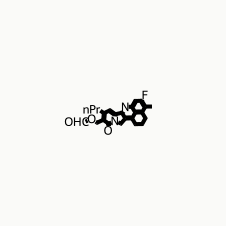 CCCc1cc2n(c(=O)c1COC=O)Cc1c-2nc2cc(F)c(C)c3c2c1CCC3